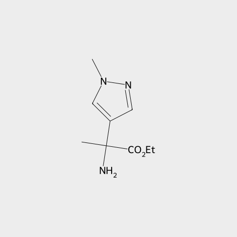 CCOC(=O)C(C)(N)c1cnn(C)c1